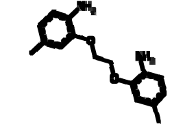 Cc1ccc(N)c(OCCOc2cc(C)ccc2N)c1